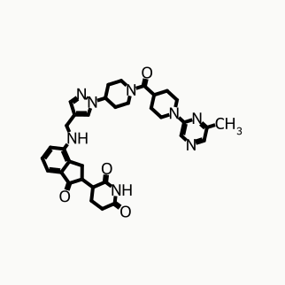 Cc1cncc(N2CCC(C(=O)N3CCC(n4cc(CNc5cccc6c5CC(C5CCC(=O)NC5=O)C6=O)cn4)CC3)CC2)n1